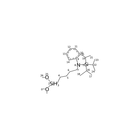 CO[SiH](CCCCCN(c1ccccc1)[Si](C(C)C)(C(C)C)C(C)C)OC